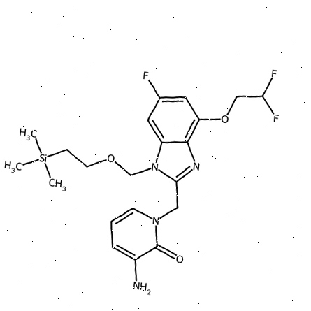 C[Si](C)(C)CCOCn1c(Cn2cccc(N)c2=O)nc2c(OCC(F)F)cc(F)cc21